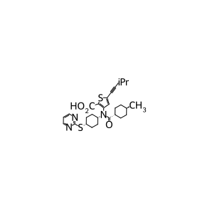 CC(C)C#Cc1cc(N(C(=O)[C@H]2CC[C@H](C)CC2)[C@H]2CC[C@@H](Sc3ncccn3)CC2)c(C(=O)O)s1